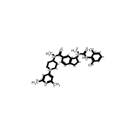 Cc1cc(N2CCC(N(C)C(=O)c3ccc4c(c3)C(N(C)C(=O)Nc3c(Cl)cccc3Cl)CC4)CC2)cc(C)n1